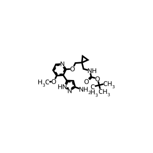 COc1ccnc(OCC2(CNC(=O)OC(C)(C)C)CC2)c1-c1cc(N)n[nH]1